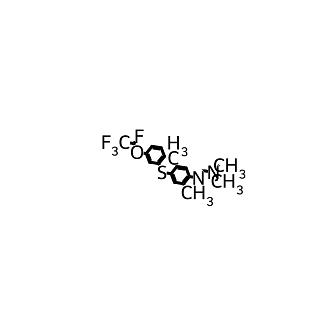 Cc1cc(Sc2cccc(OC(F)C(F)(F)F)c2)c(C)cc1N=CN(C)C